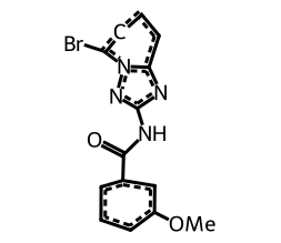 COc1cccc(C(=O)Nc2nc3cccc(Br)n3n2)c1